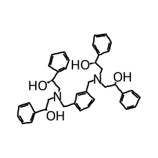 O[C@H](CN(Cc1cccc(CN(C[C@@H](O)c2ccccc2)C[C@@H](O)c2ccccc2)c1)C[C@@H](O)c1ccccc1)c1ccccc1